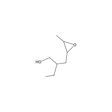 CCC(CO)CC1OC1C